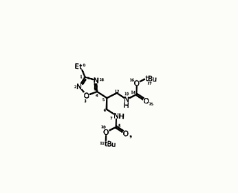 CCc1noc(C(CNC(=O)OC(C)(C)C)CNC(=O)OC(C)(C)C)n1